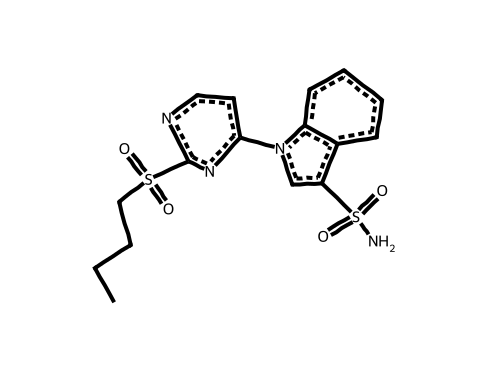 CCCCS(=O)(=O)c1nccc(-n2cc(S(N)(=O)=O)c3ccccc32)n1